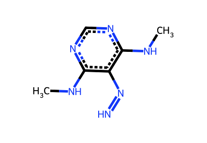 CNc1ncnc(NC)c1N=N